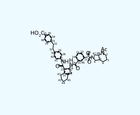 CC(=O)N1CCCC2CN(S(=O)(=O)c3cccc(C(=O)Nc4sc5c(c4C(=O)Nc4ccc(CCc6ccc(C(=O)O)cc6)cc4)CCCC5)c3)CC21